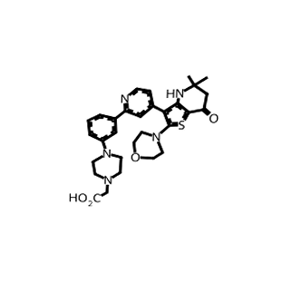 CC1(C)CC(=O)c2sc(N3CCOCC3)c(-c3ccnc(-c4cccc(N5CCN(CC(=O)O)CC5)c4)c3)c2N1